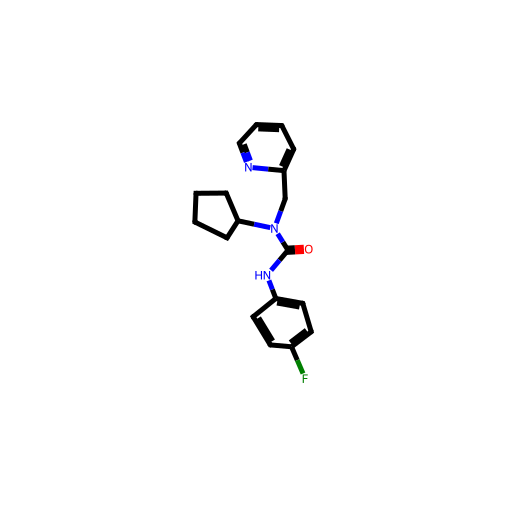 O=C(Nc1ccc(F)cc1)N(Cc1ccccn1)C1CCCC1